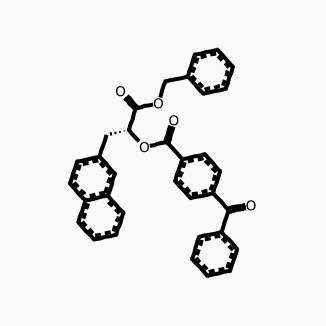 O=C(O[C@H](Cc1ccc2ccccc2c1)C(=O)OCc1ccccc1)c1ccc(C(=O)c2ccccc2)cc1